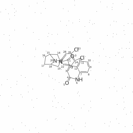 O=C(c1cc(=O)[nH]c2ccccc12)N1CC2CCC(C1)N2c1ccc(Cl)c(Cl)c1